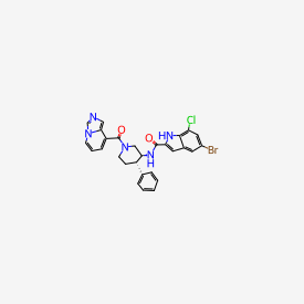 O=C(N[C@@H]1CN(C(=O)c2cccn3cncc23)CC[C@H]1c1ccccc1)c1cc2cc(Br)cc(Cl)c2[nH]1